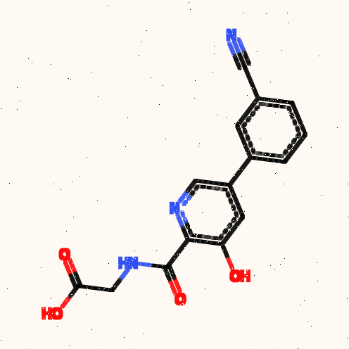 N#Cc1cccc(-c2cnc(C(=O)NCC(=O)O)c(O)c2)c1